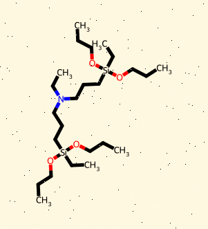 CCCO[Si](CC)(CCCN(CC)CCC[Si](CC)(OCCC)OCCC)OCCC